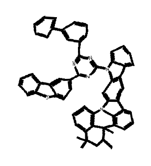 CC1CC(C)(C)c2cccc3c2C1(C)c1cccc2c4cc5c6ccccc6n(-c6nc(-c7cccc(-c8ccccc8)c7)nc(-c7ccc8sc9ccccc9c8c7)n6)c5cc4n-3c12